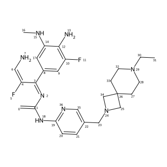 C=C(/N=C(\C(F)=C/N)c1cc(F)c(N)c(NC)c1)Nc1ccc(CN2CC3(CCN(CC)CC3)C2)cn1